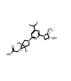 C[C@H]1[C@H](O)CN1c1nc(C(F)F)cc(N2C[C@@H]3[C@@H](CC(=O)O)[C@@H]3C2)n1